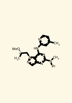 CO[C@@H](C)Cn1ncc2nc(N(C)C(C)C)nc(Nc3cc(C)ccn3)c21